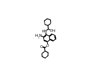 Nc1cc(OC(=O)C2CCCCC2)c2ccccc2c1NC(O)C1CCCCC1